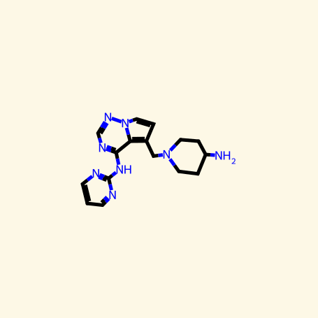 NC1CCN(Cc2ccn3ncnc(Nc4ncccn4)c23)CC1